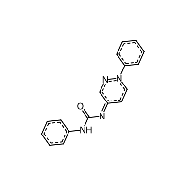 O=C(N=c1ccn(-c2ccccc2)nc1)Nc1ccccc1